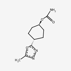 Cc1nnc([C@H]2CC[C@H](OC(N)=O)CC2)o1